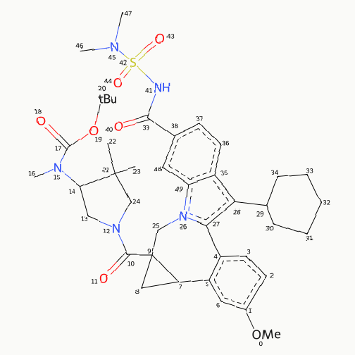 COc1ccc2c(c1)C1CC1(C(=O)N1CC(N(C)C(=O)OC(C)(C)C)C(C)(C)C1)Cn1c-2c(C2CCCCC2)c2ccc(C(=O)NS(=O)(=O)N(C)C)cc21